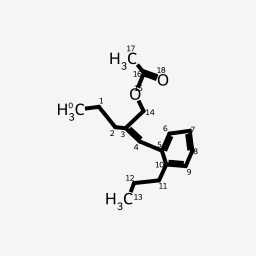 CCCC(=Cc1ccccc1CCC)COC(C)=O